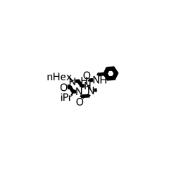 CCCCCCN1C[C@H]2N(C(=O)CN(C)N2C(=O)NCc2ccccc2)[C@@H](C(C)C)C1=O